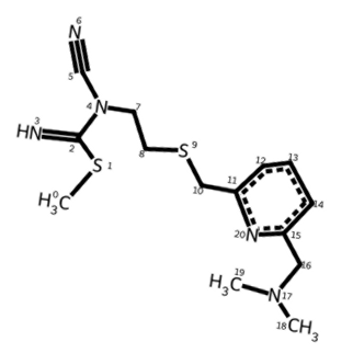 CSC(=N)N(C#N)CCSCc1cccc(CN(C)C)n1